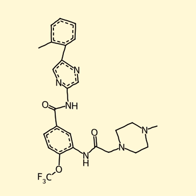 Cc1ccccc1-c1cnc(NC(=O)c2ccc(OC(F)(F)F)c(NC(=O)CN3CCN(C)CC3)c2)cn1